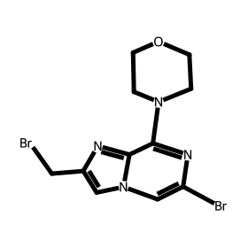 BrCc1cn2cc(Br)nc(N3CCOCC3)c2n1